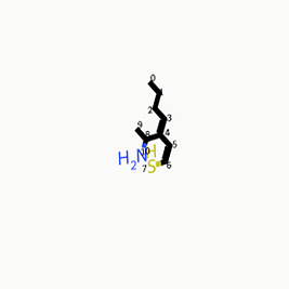 CCC/C=C(/C=C\S)C(C)N